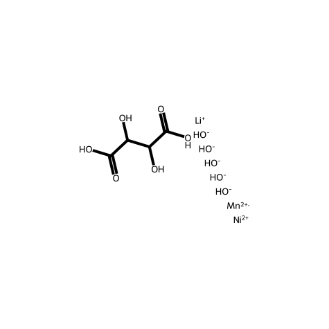 O=C(O)C(O)C(O)C(=O)O.[Li+].[Mn+2].[Ni+2].[OH-].[OH-].[OH-].[OH-].[OH-]